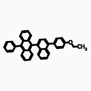 CCOc1ccc(-c2ccc(-c3c4ccccc4c(-c4ccccc4)c4ccccc34)c3ccccc23)cc1